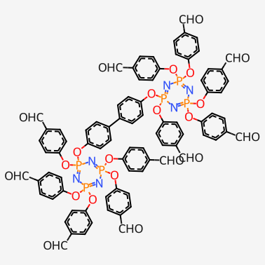 O=Cc1ccc(OP2(Oc3ccc(C=O)cc3)=NP(Oc3ccc(C=O)cc3)(Oc3ccc(C=O)cc3)=NP(Oc3ccc(C=O)cc3)(Oc3ccc(-c4ccc(OP5(Oc6ccc(C=O)cc6)=NP(Oc6ccc(C=O)cc6)(Oc6ccc(C=O)cc6)=NP(Oc6ccc(C=O)cc6)(Oc6ccc(C=O)cc6)=N5)cc4)cc3)=N2)cc1